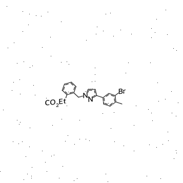 CCOC(=O)c1ccccc1Cn1ccc(-c2ccc(C)c(Br)c2)n1